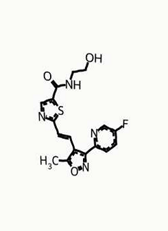 Cc1onc(-c2ccc(F)cn2)c1/C=C/c1ncc(C(=O)NCCO)s1